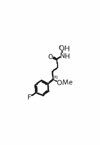 CO[C@H](CCC(=O)NO)c1ccc(F)cc1